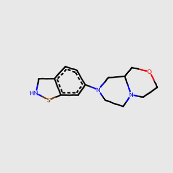 c1cc2c(cc1N1CCN3CCOCC3C1)SNC2